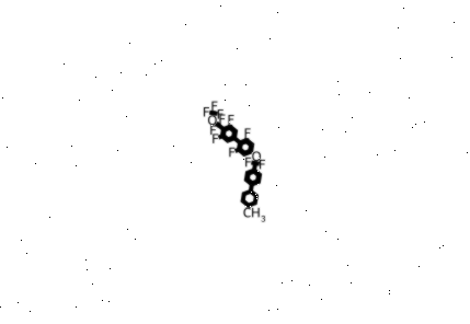 CC1CCC(c2ccc(C(F)(F)Oc3cc(F)c(-c4cc(F)c(C(F)(F)OC(F)(F)F)c(F)c4)c(F)c3)cc2)CC1